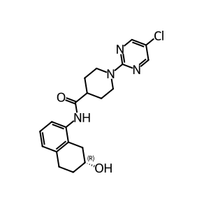 O=C(Nc1cccc2c1C[C@H](O)CC2)C1CCN(c2ncc(Cl)cn2)CC1